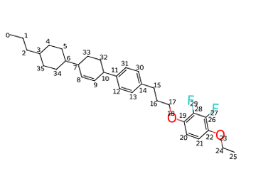 CCCC1CCC(C2C=CC(c3ccc(CCCOc4ccc(OCC)c(F)c4F)cc3)CC2)CC1